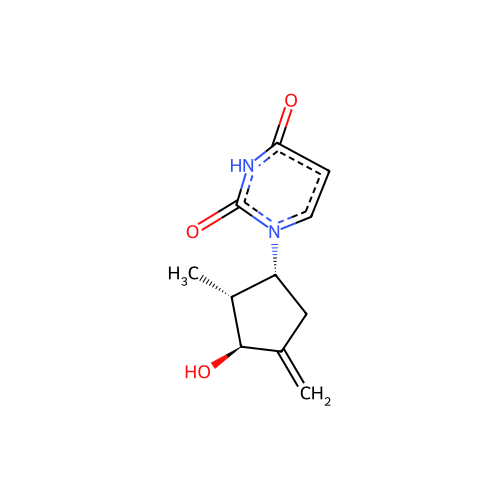 C=C1C[C@@H](n2ccc(=O)[nH]c2=O)[C@@H](C)[C@@H]1O